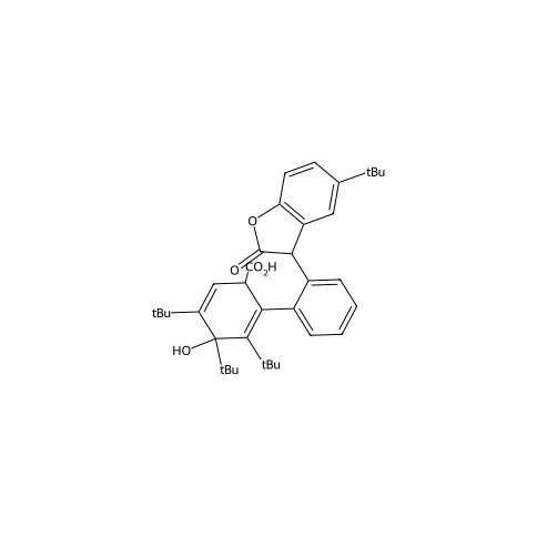 CC(C)(C)C1=CC(C(=O)O)C(c2ccccc2C2C(=O)Oc3ccc(C(C)(C)C)cc32)=C(C(C)(C)C)C1(O)C(C)(C)C